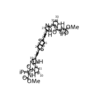 COC(=O)N[C@H](C(=O)N1C[C@@H](C)C[C@H]1c1ncc(C#Cc2cc3sc(C#Cc4cnc([C@@H]5C[C@H](C)CN5C(=O)[C@@H](NC(=O)OC)C(C)C)[nH]4)cc3s2)[nH]1)C(C)C